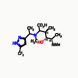 CN[C@@H](C)[C@H](O)[C@H](C)C(C(=O)O)N(C)C(C)c1cc(C(F)(F)F)[nH]n1